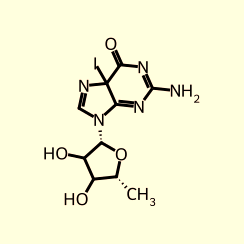 C[C@H]1O[C@@H](N2C=NC3(I)C(=O)N=C(N)N=C23)C(O)C1O